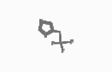 FC(F)(F)Cc1cncs1